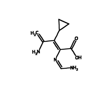 C=C(N)/C(=C(\N=C/N)C(=O)O)C1CC1